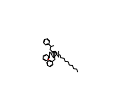 CCCCCCCCCCn1cc(CC(C)c2ccccc2)[n+](-c2ccccc2)c1Cc1ccccc1